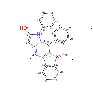 O=C1C2=C(N=C3C=C(O)N(c4ccccc4)N3C2c2ccccc2)c2ccccc21